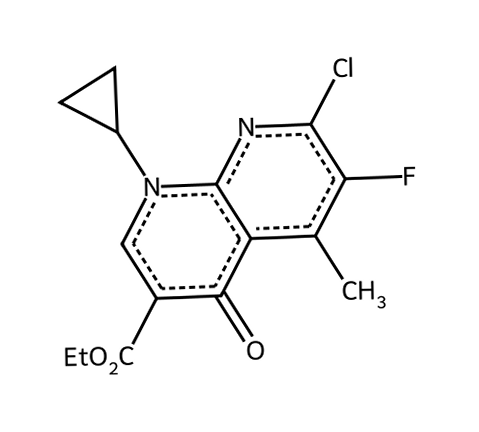 CCOC(=O)c1cn(C2CC2)c2nc(Cl)c(F)c(C)c2c1=O